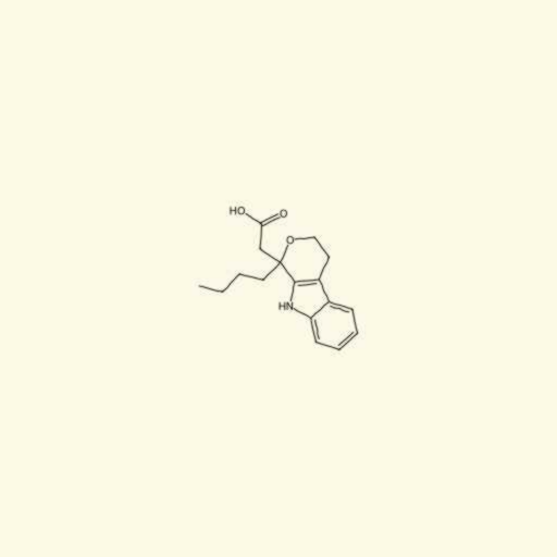 CCCCC1(CC(=O)O)OCCc2c1[nH]c1ccccc21